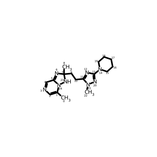 CC1=CN=CC2=NC(C)(CCc3nc(N4CCCCC4)nn3C)NN12